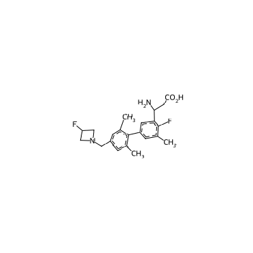 Cc1cc(-c2c(C)cc(CN3CC(F)C3)cc2C)cc(C(N)CC(=O)O)c1F